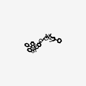 CC(=NOCCOc1ccc(CC2SC(=O)N(C(c3ccccc3)(c3ccccc3)c3ccccc3)C2=O)cc1)c1cc(-c2ccccc2)cs1